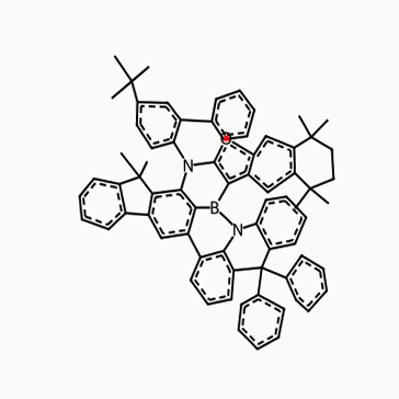 CC(C)(C)c1ccc(N2c3oc4cc5c(cc4c3B3c4c(cc6c(c42)C(C)(C)c2ccccc2-6)-c2cccc4c2N3c2ccccc2C4(c2ccccc2)c2ccccc2)C(C)(C)CCC5(C)C)c(-c2ccccc2)c1